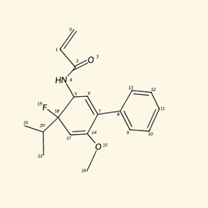 C=CC(=O)NC1C=C(c2ccccc2)C(OC)=CC1(F)C(C)C